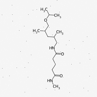 CNC(=O)CCCC(=O)NCC(C)CC(C)COC(C)C